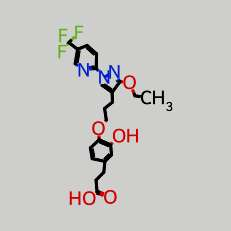 CCOc1nn(-c2ccc(C(F)(F)F)cn2)cc1CCCOc1ccc(CCC(=O)O)cc1O